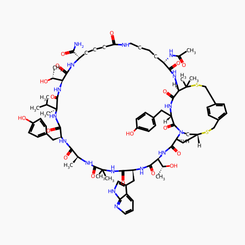 CC(=O)N[C@H]1CCCCNC(=O)CCC[C@@H](C(N)=O)NC(=O)[C@H]([C@@H](C)O)NC(=O)[C@](C)(C(C)C)NC(=O)[C@H](Cc2ccc(O)cc2)NC(=O)[C@H](C)NC(=O)C(C)(C)NC(=O)[C@H](Cc2c[nH]c3ncccc23)NC(=O)[C@H]([C@@H](C)O)NC(=O)[C@@H]2C[C@@H]3CN2C(=O)[C@H](Cc2ccc(O)cc2)NC(=O)[C@@H](NC1=O)C(C)(C)SCc1ccc(cc1)CS3